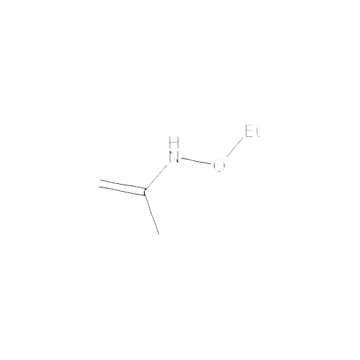 C=C(C)NOCC